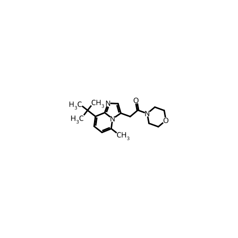 Cc1ccc(C(C)(C)C)c2ncc(CC(=O)N3CCOCC3)n12